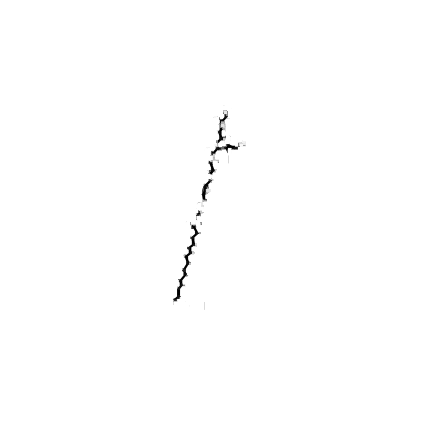 O=C(O)CCCCCCCCCCCCCCC(=O)NCCOCCOCCOCCNC(=O)[C@H](CCCNC(=O)CBr)NC(=O)CBr